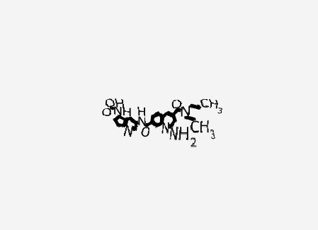 CCCN(CCC)C(=O)C1=Cc2ccc(C(=O)Nc3cnc4c(c3)C(NC(=O)O)CC4)cc2N=C(N)C1